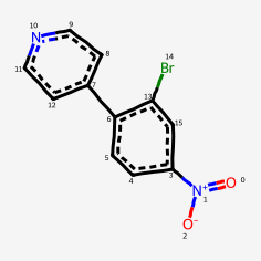 O=[N+]([O-])c1ccc(-c2ccncc2)c(Br)c1